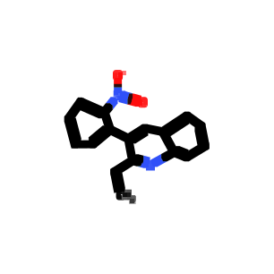 C=Cc1nc2ccccc2cc1-c1ccccc1[N+](=O)[O-]